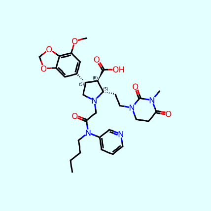 CCCCN(C(=O)CN1C[C@H](c2cc(OC)c3c(c2)OCO3)[C@@H](C(=O)O)[C@@H]1CCN1CCC(=O)N(C)C1=O)c1cccnc1